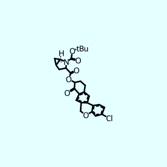 CC(C)(C)OC(=O)N1C(C(=O)OC2CCc3cc4c(cc3C2=O)COc2cc(Cl)ccc2-4)CC2C[C@H]21